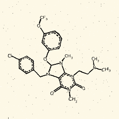 CN(C)CCn1c2c(c(=O)n(C)c1=O)N(Cc1ccc(Cl)cc1)C(Oc1cccc(OC(F)(F)F)c1)N2C